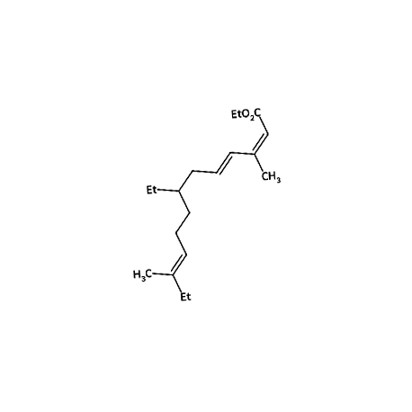 CCOC(=O)C=C(C)C=CCC(CC)CCC=C(C)CC